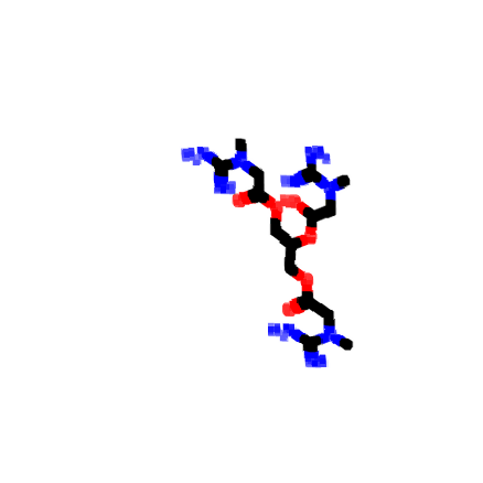 CN(CC(=O)OCC(COC(=O)CN(C)C(=N)N)OC(O)CN(C)C(=N)N)C(=N)N